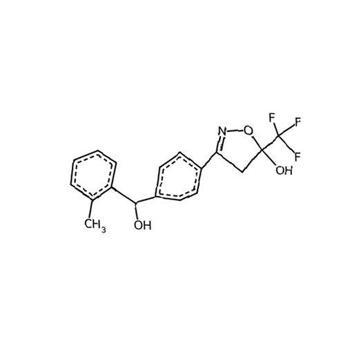 Cc1ccccc1C(O)c1ccc(C2=NOC(O)(C(F)(F)F)C2)cc1